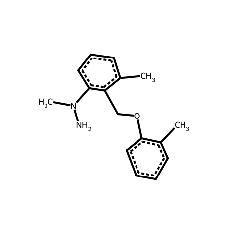 Cc1ccccc1OCc1c(C)cccc1N(C)N